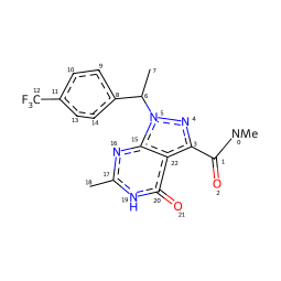 CNC(=O)c1nn(C(C)c2ccc(C(F)(F)F)cc2)c2nc(C)[nH]c(=O)c12